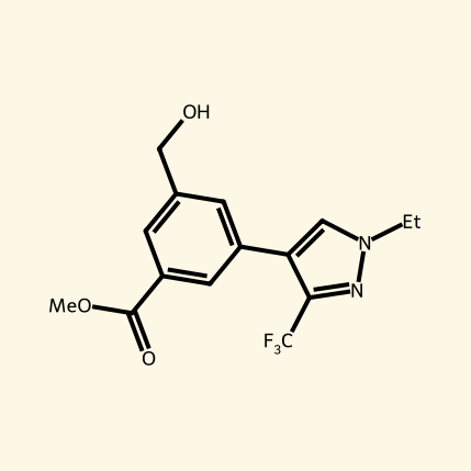 CCn1cc(-c2cc(CO)cc(C(=O)OC)c2)c(C(F)(F)F)n1